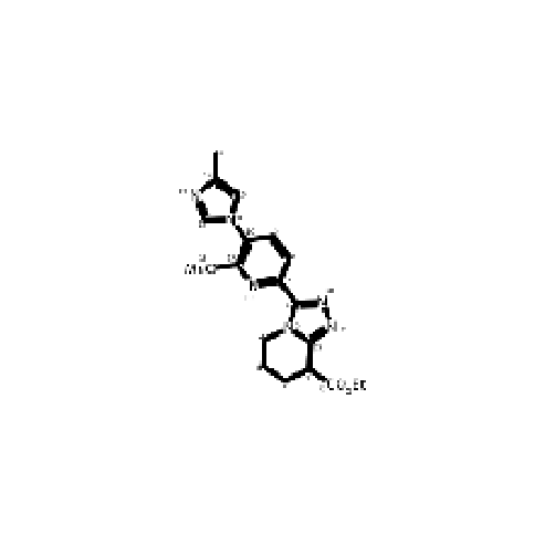 CCOC(=O)C1CCCn2c(-c3ccc(-n4cnc(C)c4)c(OC)n3)nnc21